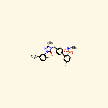 CCCCc1nn(-c2cc([N+](=O)[O-])ccc2Cl)c(=O)n1Cc1ccc(-c2cc(CC)ccc2S(=O)(=O)NC(C)(C)C)cc1